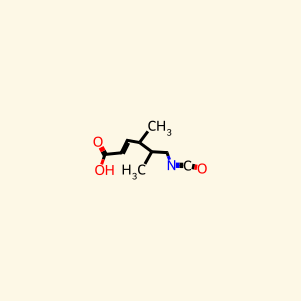 CC(C=CC(=O)O)C(C)CN=C=O